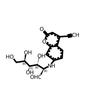 C#Cc1cc(=O)oc2cc(N[C@@H](C=O)[C@@H](O)[C@H](O)[C@H](O)CO)ccc12